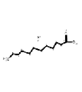 CCCCCCCCCCCC(=O)[O-].[K+]